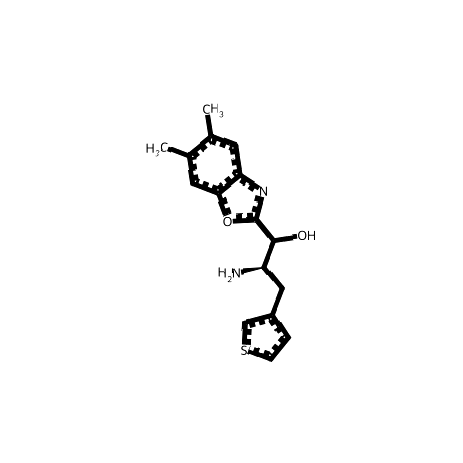 Cc1cc2nc(C(O)[C@H](N)Cc3ccsc3)oc2cc1C